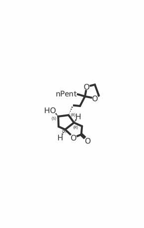 CCCCCC1(CC[C@@H]2[C@H]3CC(=O)O[C@H]3C[C@@H]2O)OCCO1